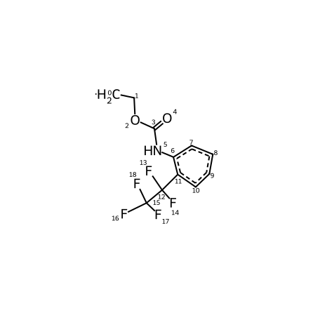 [CH2]COC(=O)Nc1ccccc1C(F)(F)C(F)(F)F